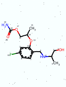 CC(CO)NCc1ccc(F)cc1OC(C)COC(N)=O